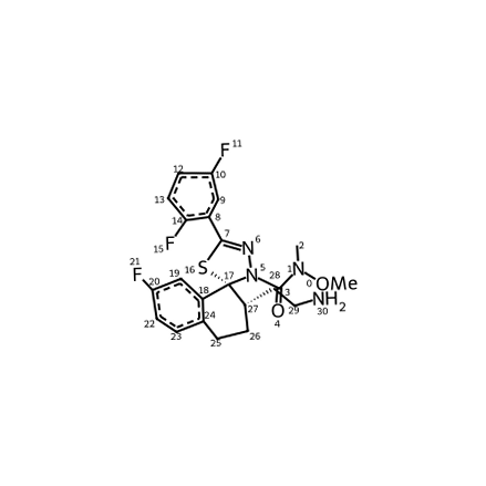 CON(C)C(=O)N1N=C(c2cc(F)ccc2F)S[C@]12c1cc(F)ccc1CC[C@H]2CCN